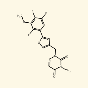 COc1c(F)c(F)cc(-c2cc(Cn3ccc(=O)n(C)c3=O)co2)c1F